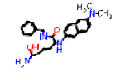 CN(C)c1ccc2cc(NC(CCCC(N)O)C(=O)NCc3ccccc3)ccc2c1